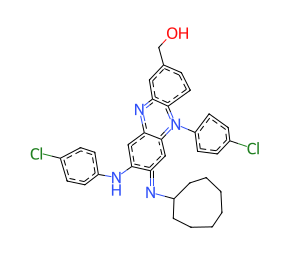 OCc1ccc2c(c1)nc1cc(Nc3ccc(Cl)cc3)c(=NC3CCCCCCC3)cc-1n2-c1ccc(Cl)cc1